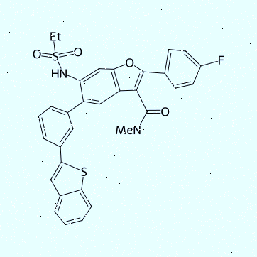 CCS(=O)(=O)Nc1cc2oc(-c3ccc(F)cc3)c(C(=O)NC)c2cc1-c1cccc(-c2cc3ccccc3s2)c1